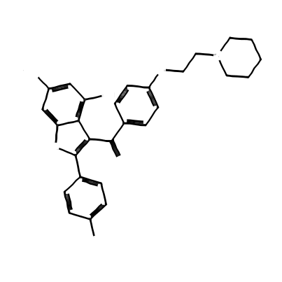 CC(=O)Oc1cc(O)c2c(C(=O)c3ccc(OCCN4CCCCC4)cc3)c(-c3ccc(O)cc3)sc2c1.Cl